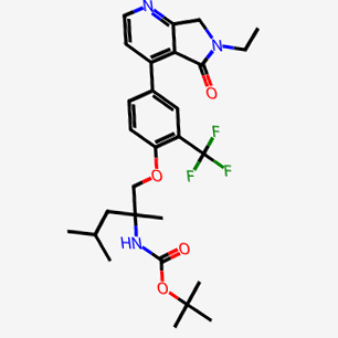 CCN1Cc2nccc(-c3ccc(OCC(C)(CC(C)C)NC(=O)OC(C)(C)C)c(C(F)(F)F)c3)c2C1=O